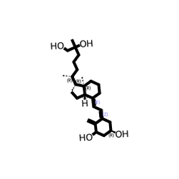 C=C1/C(=C\C=C2/CCC[C@]3(C)[C@@H]([C@H](C)CCCC(C)(O)CO)CC[C@@H]23)C[C@@H](O)CC1O